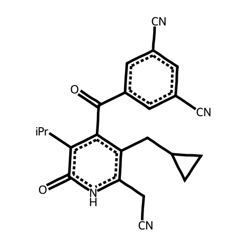 CC(C)c1c(C(=O)c2cc(C#N)cc(C#N)c2)c(CC2CC2)c(CC#N)[nH]c1=O